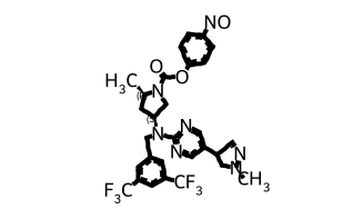 C[C@@H]1C[C@H](N(Cc2cc(C(F)(F)F)cc(C(F)(F)F)c2)c2ncc(C3C=NN(C)C3)cn2)CN1C(=O)Oc1ccc(N=O)cc1